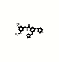 COc1cc(CNC(=O)c2cc(Cn3ccnc3)cc(Oc3ccccc3)c2)cc(OC)c1